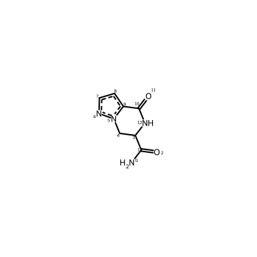 NC(=O)C1Cn2nccc2C(=O)N1